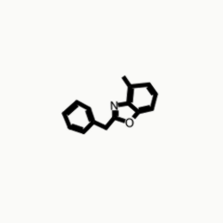 Cc1cccc2oc(Cc3ccccc3)nc12